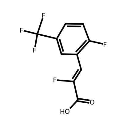 O=C(O)C(F)=Cc1cc(C(F)(F)F)ccc1F